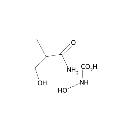 CC(CO)C(N)=O.O=C(O)NO